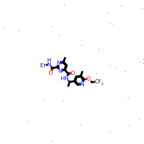 CCNC(=O)c1nc(C)cc(C(=O)NC(C)c2cnc(OCC(F)(F)F)c(C)c2)n1